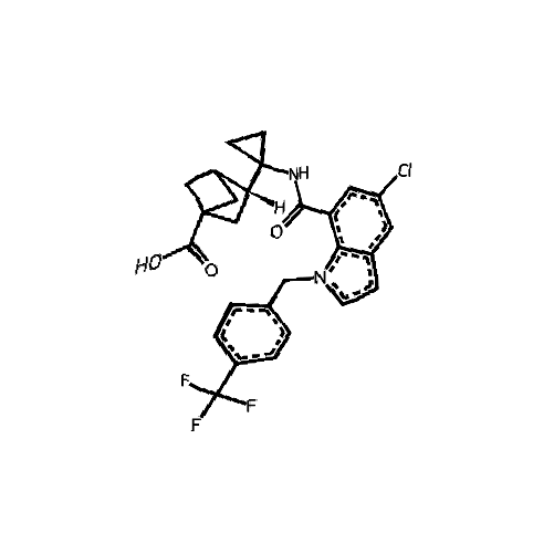 O=C(NC1([C@@H]2CC3(C(=O)O)CC2C3)CC1)c1cc(Cl)cc2ccn(Cc3ccc(C(F)(F)F)cc3)c12